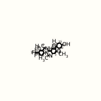 COc1cc2nc(C)nc(N[C@H](C)c3cccc(C(F)(F)F)c3F)c2cc1C1(O)CCC(O)CC1